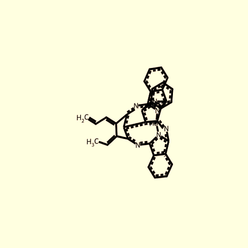 C=C/C=C1\C(=C/C)c2nc3c4ccccc4c4nc5c6c(nc7c8ccccc8c(nc1c26)n7Bn34)-c1ccccc1-5